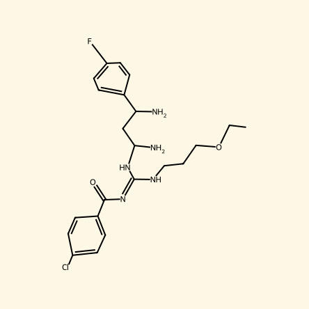 CCOCCCN/C(=N/C(=O)c1ccc(Cl)cc1)NC(N)CC(N)c1ccc(F)cc1